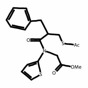 COC(=O)CN(C(=O)C(CSC(C)=O)Cc1ccccc1)c1cccs1